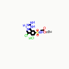 CCCCOC(=O)CNS(=O)(=O)c1ccc2c(Cl)cnc(NC(=N)N)c2c1.Cl